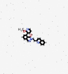 COc1ncccc1-c1cccc2cnn(CCc3ccc4ccccc4n3)c(=O)c12